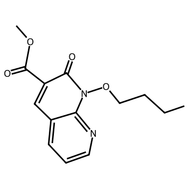 CCCCOn1c(=O)c(C(=O)OC)cc2cccnc21